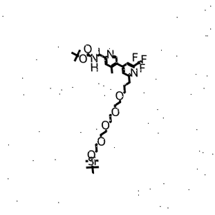 Cc1cc([C@H](C)NC(=O)OC(C)(C)C)ncc1-c1cc(CCCOCCOCCOCCOCCO[Si](C)(C)C(C)(C)C)nc(C(F)(F)F)c1